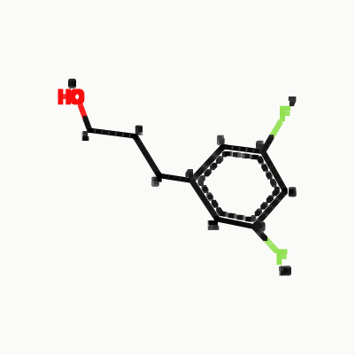 OCC[CH]c1cc(F)cc(F)c1